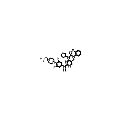 CN1CCN(c2c(F)cc(Nc3ncc4c(n3)N(C3CCCC3)C(=O)N(c3ccccc3F)C4)cc2F)CC1